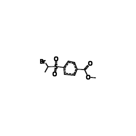 COC(=O)c1ccc(S(=O)(=O)C(C)Br)cc1